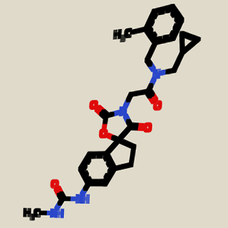 CNC(=O)Nc1ccc2c(c1)CCC21OC(=O)N(CC(=O)N(Cc2ccccc2C)CC2CC2)C1=O